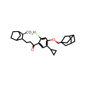 O=C(CCC1C2CCC(C2)[C@H]1C(=O)O)c1cc(C2CC2)c(OCC23CC4CC(C2)C(C4)C3)cc1F